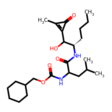 CCCC[C@H](NC(=O)C(CC(C)C)NC(=O)OCC1CCCCC1)C(O)c1c(C)c1=O